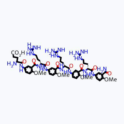 COc1ccc(NC(=O)[C@@H](CCCNC(=N)N)NC(=O)c2cc(NC(=O)[C@@H](CCCNC(=N)N)NC(=O)c3cc(NC(=O)[C@@H](CCCNC(=N)N)NC(=O)c4cc(NC(=O)[C@H](N)CCC(=O)O)ccc4OC)ccc3OC)ccc2OC)cc1C(N)=O